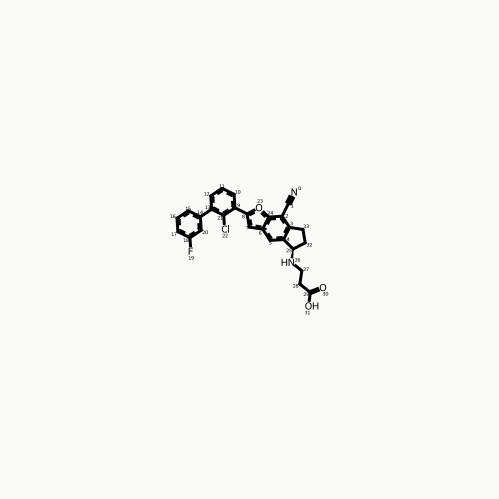 N#Cc1c2c(cc3cc(-c4cccc(-c5cccc(F)c5)c4Cl)oc13)[C@H](NCCC(=O)O)CC2